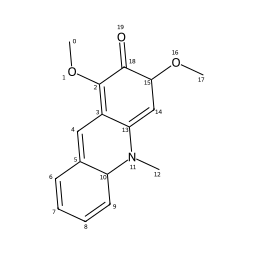 COC1=C2C=C3C=CC=CC3N(C)C2=CC(OC)C1=O